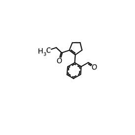 CCC(=O)C1=C(c2ccccc2C=O)CCC1